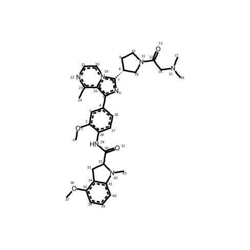 COc1cc(-c2nc([C@@H]3CCN(C(=O)CN(C)C)C3)n3ccnc(C)c23)ccc1NC(=O)C1Cc2c(OC)cccc2N1C